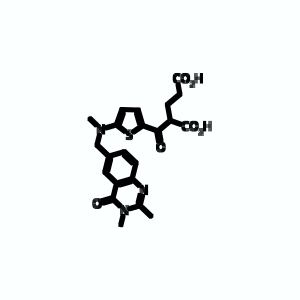 Cc1nc2ccc(CN(C)c3ccc(C(=O)C(CCC(=O)O)C(=O)O)s3)cc2c(=O)n1C